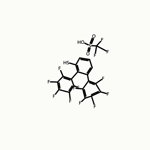 Fc1c(F)c(F)c(-c2cccc(S)c2-c2c(F)c(F)c(F)c(F)c2F)c(F)c1F.O=S(=O)(O)C(F)(F)F